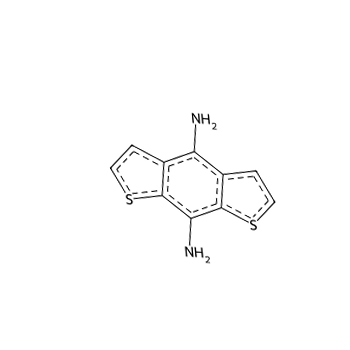 Nc1c2ccsc2c(N)c2sccc12